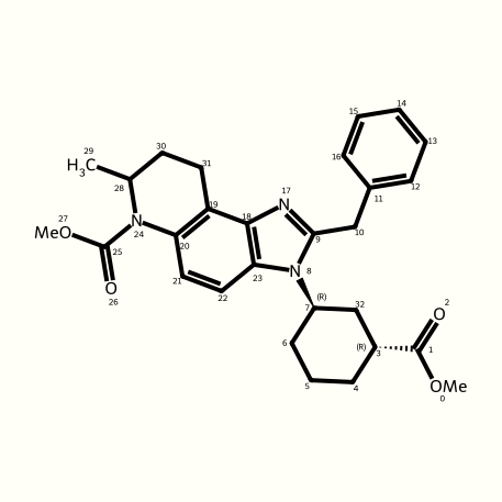 COC(=O)[C@@H]1CCC[C@@H](n2c(Cc3ccccc3)nc3c4c(ccc32)N(C(=O)OC)C(C)CC4)C1